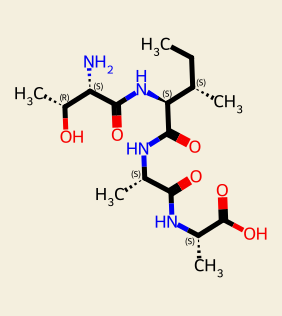 CC[C@H](C)[C@H](NC(=O)[C@@H](N)[C@@H](C)O)C(=O)N[C@@H](C)C(=O)N[C@@H](C)C(=O)O